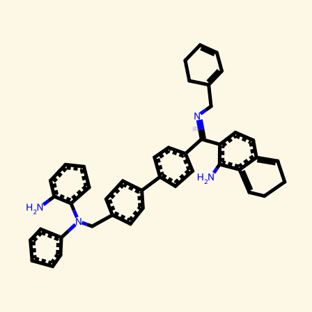 Nc1ccccc1N(Cc1ccc(-c2ccc(/C(=N/CC3=CC=CCC3)c3ccc4c(c3N)=CCCC=4)cc2)cc1)c1ccccc1